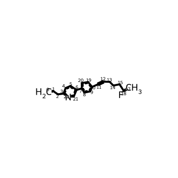 C=CCc1ccc(-c2ccc(C#CCCCC(C)F)cc2)cn1